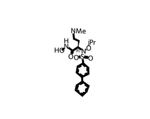 CNCC[C@H](C(=O)NO)N(OC(C)C)S(=O)(=O)c1ccc(-c2ccccc2)cc1